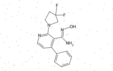 N/C(=N\O)c1c(-c2ccccc2)ccnc1N1CCC(F)(F)C1